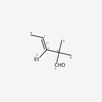 C/C=C(\CC)C(C)(C)C=O